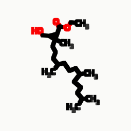 CCOC(=O)C1C(CO)C1(C)CCCC(C)CCCC(C)CCCC(C)C